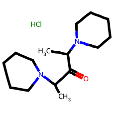 CC(C(=O)C(C)N1CCCCC1)N1CCCCC1.Cl